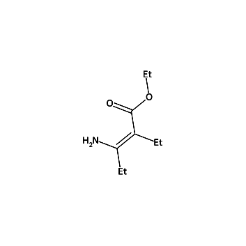 CCOC(=O)/C(CC)=C(\N)CC